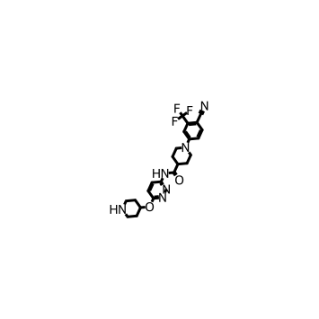 N#Cc1ccc(N2CCC(C(=O)Nc3ccc(OC4CCNCC4)nn3)CC2)cc1C(F)(F)F